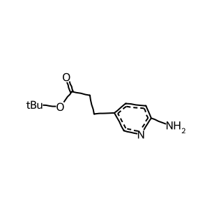 CC(C)(C)OC(=O)CCc1ccc(N)nc1